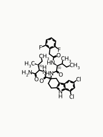 CCC(C)[C@H](NC(=O)Cc1c(F)cccc1F)C(=O)N[C@]1(C(=O)NC(C(N)=O)[C@@H](C)CC)CCc2[nH]c3c(Cl)cc(Cl)cc3c2C1